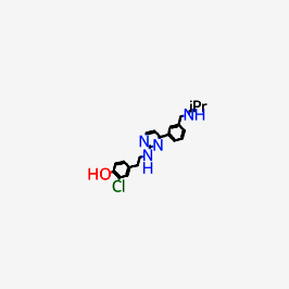 CC(C)NCc1cccc(-c2ccnc(NCCc3ccc(O)c(Cl)c3)n2)c1